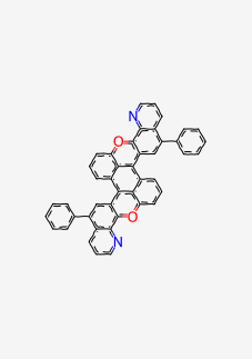 c1ccc(-c2cc3c(oc4cccc5c4c3c3cccc4oc6c(cc(-c7ccccc7)c7cccnc76)c5c43)c3ncccc23)cc1